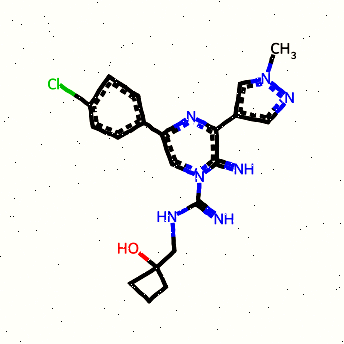 Cn1cc(-c2nc(-c3ccc(Cl)cc3)cn(C(=N)NCC3(O)CCC3)c2=N)cn1